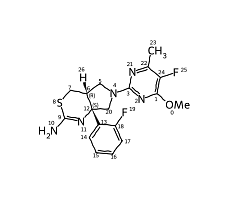 COc1nc(N2C[C@H]3CSC(N)=N[C@@]3(c3ccccc3F)C2)nc(C)c1F